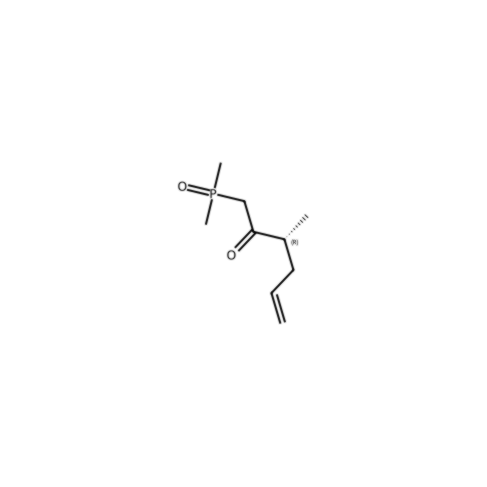 C=CC[C@@H](C)C(=O)CP(C)(C)=O